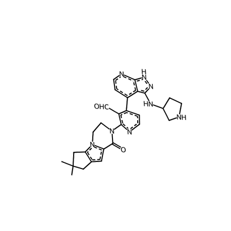 CC1(C)Cc2cc3n(c2C1)CCN(c1nccc(-c2ccnc4[nH]nc(NC5CCNC5)c24)c1C=O)C3=O